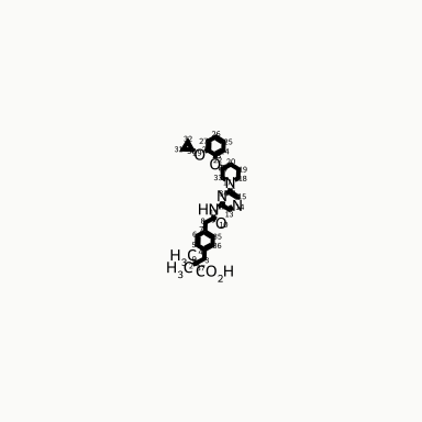 CC(C)(Cc1ccc(CC(=O)Nc2cncc(N3CCC[C@@H](Oc4ccccc4OC4CC4)C3)n2)cc1)C(=O)O